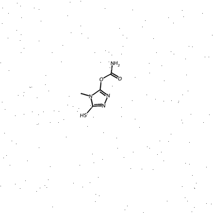 Cn1c(S)nnc1OC(N)=O